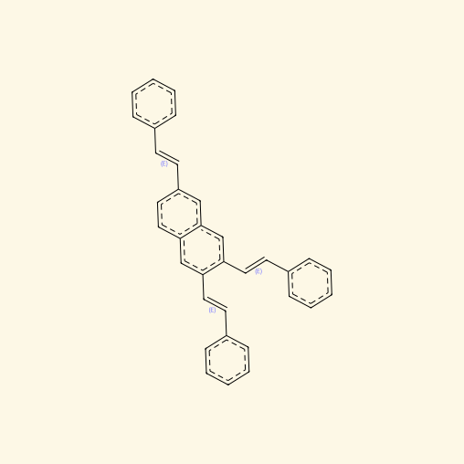 C(=C\c1ccc2cc(/C=C/c3ccccc3)c(/C=C/c3ccccc3)cc2c1)/c1ccccc1